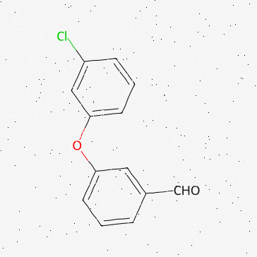 O=Cc1cccc(Oc2cccc(Cl)c2)c1